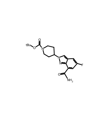 CC(C)(C)OC(=O)N1CCC(n2cc3cc(F)cc(C(N)=O)c3n2)CC1